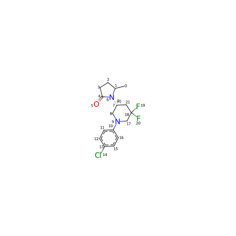 CC1CCC(=O)N1[C@H]1CN(c2ccc(Cl)cc2)CC(F)(F)C1